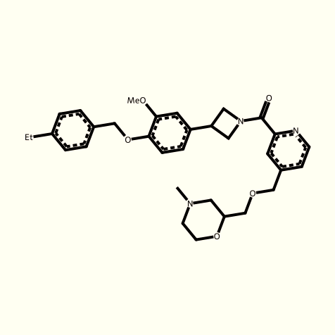 CCc1ccc(COc2ccc(C3CN(C(=O)c4cc(COCC5CN(C)CCO5)ccn4)C3)cc2OC)cc1